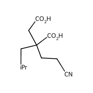 CC(C)CC(CCC#N)(CC(=O)O)C(=O)O